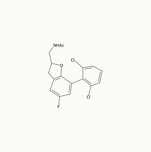 CC(=O)NCC1Cc2cc(F)cc(-c3c(Cl)cccc3Cl)c2O1